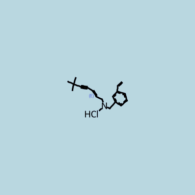 C=Cc1cccc(CN(C)C/C=C/C#CC(C)(C)C)c1.Cl